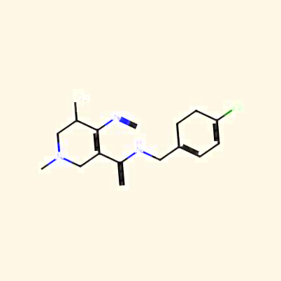 C=NC1=C(C(=C)NCC2=CC=C(Cl)CC2)CN(C)CC1CCCC